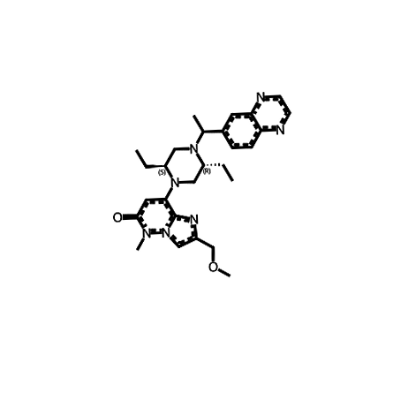 CC[C@H]1CN(C(C)c2ccc3nccnc3c2)[C@H](CC)CN1c1cc(=O)n(C)n2cc(COC)nc12